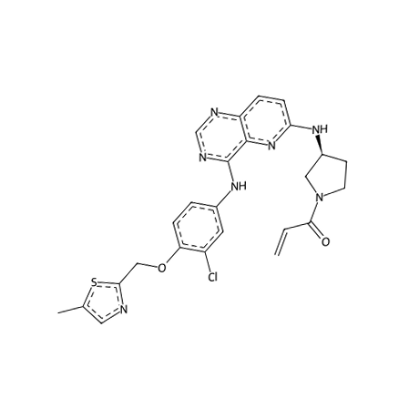 C=CC(=O)N1CC[C@H](Nc2ccc3ncnc(Nc4ccc(OCc5ncc(C)s5)c(Cl)c4)c3n2)C1